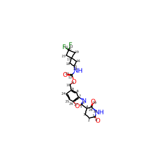 O=C1CCC(c2nc3cc(COC(=O)NC4CC5(C4)CC(F)(F)C5)ccc3o2)C(=O)N1